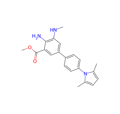 CNc1cc(-c2ccc(-n3c(C)ccc3C)cc2)cc(C(=O)OC)c1N